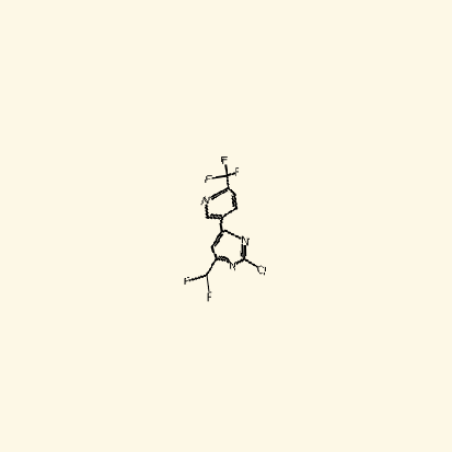 FC(F)c1cc(-c2ccc(C(F)(F)F)nc2)nc(Cl)n1